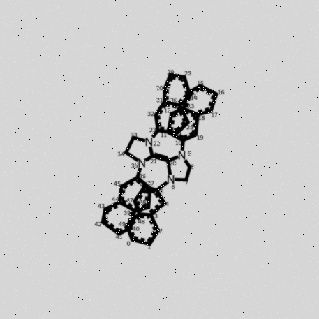 c1ccc2cc(N3CCN(c4ccc5ccccc5c4)C3=C3N(c4ccc5ccccc5c4)CCN3c3ccc4ccccc4c3)ccc2c1